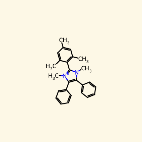 Cc1cc(C)c(-c2n(C)c(-c3ccccc3)c(-c3ccccc3)[n+]2C)c(C)c1